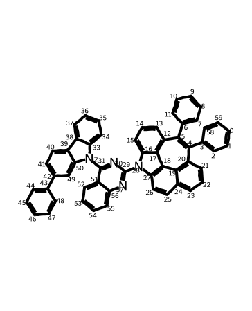 c1ccc(C2=C(c3ccccc3)c3cccc4c3c3c5c2cccc5ccc3n4-c2nc(-n3c4ccccc4c4ccc(-c5ccccc5)cc43)c3ccccc3n2)cc1